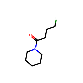 O=C(CCCF)N1CCCCC1